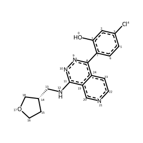 Oc1cc(Cl)ccc1-c1nnc(NC[C@@H]2CCOC2)c2cnccc12